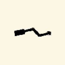 [C]#CCCCC